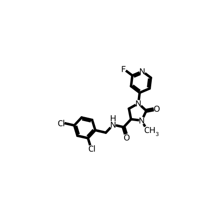 CN1C(=O)N(c2ccnc(F)c2)CC1C(=O)NCc1ccc(Cl)cc1Cl